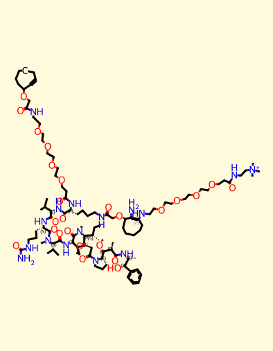 CC[C@H](C)[C@@H]([C@@H](CC(=O)N1CCC[C@H]1[C@H](OC)[C@@H](C)C(=O)N[C@H](C)[C@@H](O)c1ccccc1)OC)N(C)C(=O)[C@@H](NC(=O)[C@H](C(C)C)N(C)C(=O)[C@H](CCCNC(N)=O)NC(=O)[C@@H](NC(=O)[C@@H](CCCCNC(=O)COC1CCCCC/C(NCCOCCOCCOCCOCCC(=O)NCC[N+](C)(C)C)=C\1N)NC(=O)CCOCCOCCOCCOCCNC(=O)COC1C#CCCCCC1)C(C)C)C(C)C